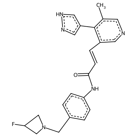 Cc1cncc(/C=C/C(=O)Nc2ccc(CN3CC(F)C3)cc2)c1-c1cn[nH]c1